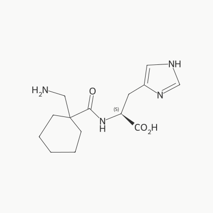 NCC1(C(=O)N[C@@H](Cc2c[nH]cn2)C(=O)O)CCCCC1